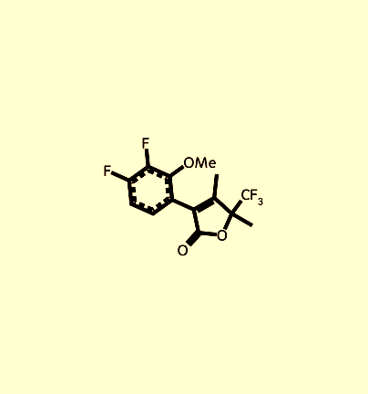 COc1c(C2=C(C)C(C)(C(F)(F)F)OC2=O)ccc(F)c1F